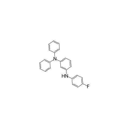 Fc1ccc(Nc2cccc(N(c3ccccc3)c3ccccc3)c2)cc1